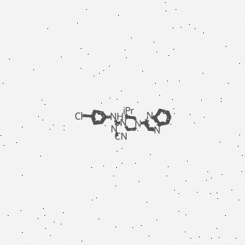 CC(C)C1CN(c2cnc3ccccc3n2)CCN1/C(=N\C#N)Nc1ccc(Cl)cc1